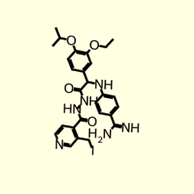 CCOc1cc(C(Nc2ccc(C(=N)N)cc2)C(=O)NNC(=O)c2ccncc2CI)ccc1OC(C)C